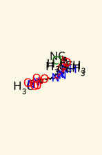 CN1C(=O)CCC(N2C(=O)c3ccc(OCCCCCN4CCC(n5cc(C(=O)N[C@H]6C(C)(C)[C@H](Oc7ccc(C#N)c(Cl)c7)C6(C)C)cn5)CC4)cc3C2=O)C1=O